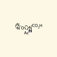 C/N=C(/C(C)=O)c1cc(OCc2ncccn2)ccc1NCC(=O)O